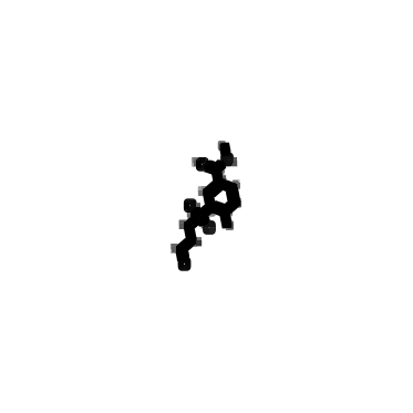 COC(=O)c1ccc(C)c(S(=O)(=O)CCC=O)c1